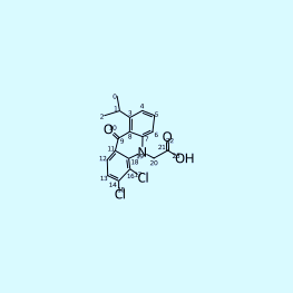 CC(C)c1cccc2c1c(=O)c1ccc(Cl)c(Cl)c1n2CC(=O)O